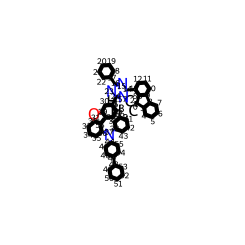 CC1(C)c2ccccc2-c2cccc(-c3nc(-c4ccccc4)nc(-c4ccc5c(c4)oc4cccc(N(c6ccccc6)c6ccc(-c7ccccc7)cc6)c45)n3)c21